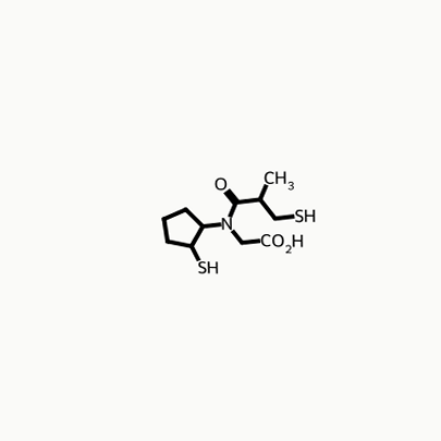 CC(CS)C(=O)N(CC(=O)O)C1CCCC1S